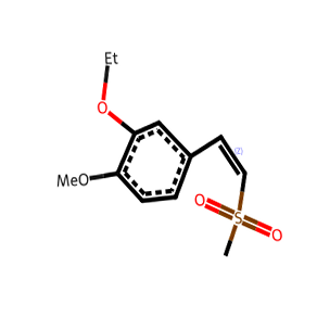 CCOc1cc(/C=C\S(C)(=O)=O)ccc1OC